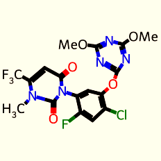 COc1nc(OC)nc(Oc2cc(-n3c(=O)cc(C(F)(F)F)n(C)c3=O)c(F)cc2Cl)n1